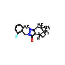 Cn1c2c(c(=O)n1Cc1ccccc1F)[C@H]1CCC1(C)C(C)(C)C2